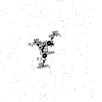 COc1cc(SCCNC(=N)N)c(C(F)(F)F)cc1NC(=O)c1cc(C(=O)Nc2cc(C(F)(F)I)c(SCCNC(=N)N)cc2OC)nc(SCCNC(=N)N)n1